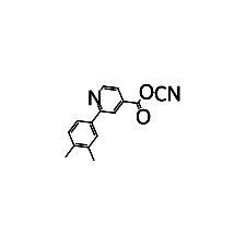 Cc1ccc(-c2cc(C(=O)OC#N)ccn2)cc1C